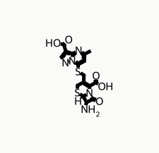 Cc1cc(SCC2=C(C(=O)O)N3C(=O)C(N)[C@@H]3SC2)n2ncc(C(=O)O)c2n1